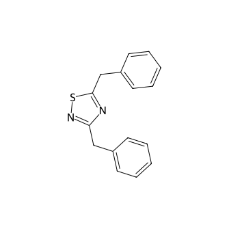 c1ccc(Cc2nsc(Cc3ccccc3)n2)cc1